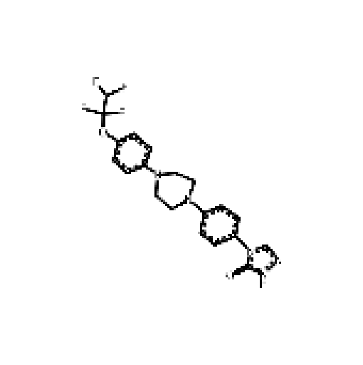 O=c1[nH]ncn1-c1ccc(N2CCN(c3ccc(OC(F)(F)C(F)F)cc3)CC2)cc1